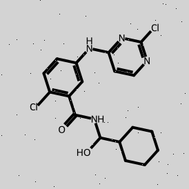 O=C(NC(O)C1CCCCC1)c1cc(Nc2ccnc(Cl)n2)ccc1Cl